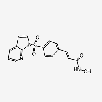 O=C(C=Cc1ccc(S(=O)(=O)n2ccc3cccnc32)cc1)NO